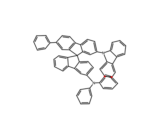 c1ccc(-c2ccc3c(c2)C2(c4ccccc4-c4cc(N(c5ccccc5)c5ccccc5)ccc42)c2cc(-n4c5ccccc5c5ccccc54)ccc2-3)cc1